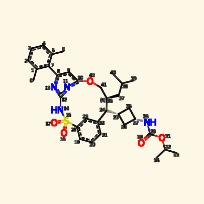 Cc1cccc(C)c1-c1cc2nc(n1)NS(=O)(=O)c1cccc(c1)C([C@H]1C[C@@H](NC(=O)OC(C)C)C1)[C@H](CC(C)C)CO2